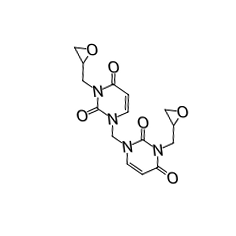 O=c1ccn(Cn2ccc(=O)n(CC3CO3)c2=O)c(=O)n1CC1CO1